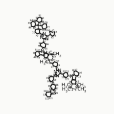 CC1(C)CCC(C)(C)c2cc3c(cc21)c1ccccc1n3-c1ccc(-c2nc(-c3cccc(CC4(C)CCC(C)(C)c5cc6c(cc54)c4ccccc4n6-c4ccc(-c5nc(-c6ccccc6)nc(-c6cccc7c6-c6ccccc6C7(c6ccccc6)c6ccccc6)n5)cc4)c3)nc(-c3cccc(-c4ccc5sc6ccccc6c5c4)c3)n2)cc1